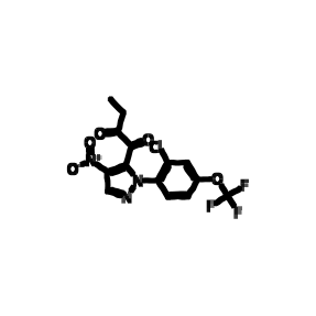 CCC(=O)C(=O)c1c([N+](=O)[O-])cnn1-c1ccc(OC(F)(F)F)cc1Cl